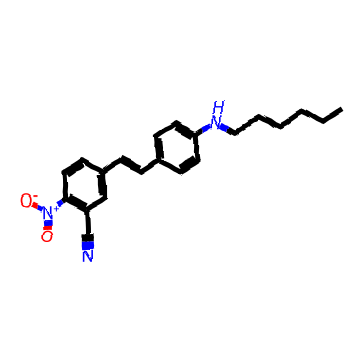 CCCCCCNc1ccc(C=Cc2ccc([N+](=O)[O-])c(C#N)c2)cc1